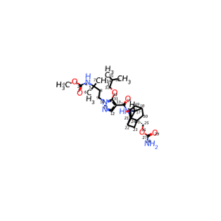 COC(=O)NC(C)(C)CCn1ncc(C(=O)N[C@@H]2C3CC=C4C2C[C@]4(COC(N)=O)C3)c1OCC(C)C